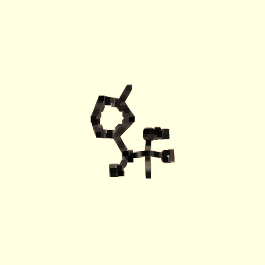 CCN(c1cccc(C)c1)C(C)(Cl)OC(C)=O